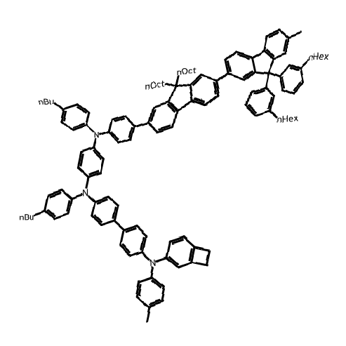 CCCCCCCCC1(CCCCCCCC)c2cc(-c3ccc(N(c4ccc(CCCC)cc4)c4ccc(N(c5ccc(CCCC)cc5)c5ccc(-c6ccc(N(c7ccc(C)cc7)c7ccc8c(c7)CC8)cc6)cc5)cc4)cc3)ccc2-c2ccc(-c3ccc4c(c3)C(c3cccc(CCCCCC)c3)(c3cccc(CCCCCC)c3)c3cc(C)ccc3-4)cc21